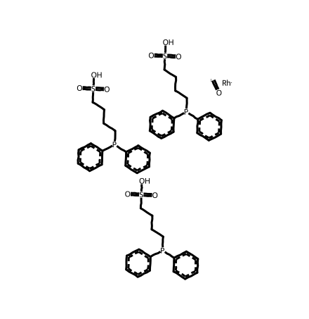 O=S(=O)(O)CCCCP(c1ccccc1)c1ccccc1.O=S(=O)(O)CCCCP(c1ccccc1)c1ccccc1.O=S(=O)(O)CCCCP(c1ccccc1)c1ccccc1.[C]=O.[Rh]